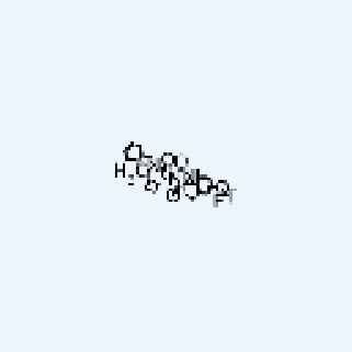 CC(C1CCC1)N(Cc1ccccc1)C(=O)CN1C(=O)NC2(CCc3cc(OC(F)F)ccc32)C1=O